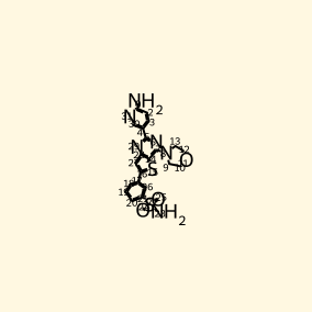 Nc1ccc(-c2nc(N3CCOCC3)c3sc(-c4cccc(S(N)(=O)=O)c4)cc3n2)cn1